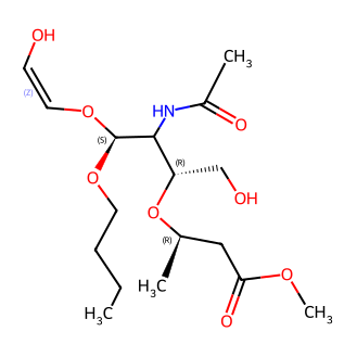 CCCCO[C@@H](O/C=C\O)C(NC(C)=O)[C@H](CO)O[C@H](C)CC(=O)OC